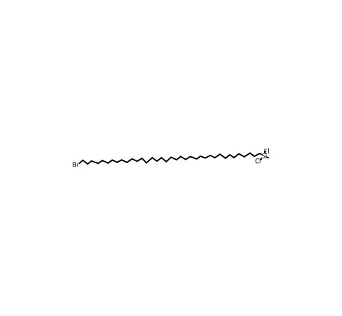 C[Si](Cl)(Cl)CCCCCCCCCCCCCCCCCCCCCCCCCCCCCCCCCCCCCBr